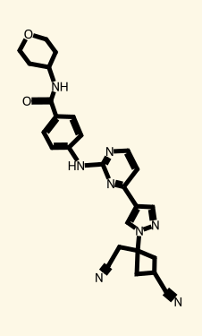 N#CCC1(n2cc(-c3ccnc(Nc4ccc(C(=O)NC5CCOCC5)cc4)n3)cn2)CC(C#N)C1